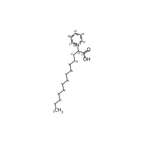 CCCCCCCCCCCCC(C(=O)O)[n+]1ccccc1